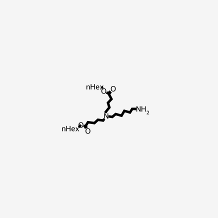 CCCCCCOC(=O)CCCCN(CCCCCCN)CCCCC(=O)OCCCCCC